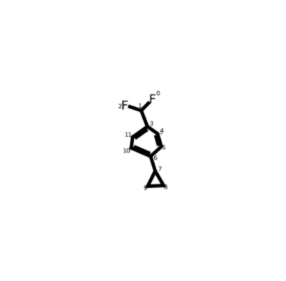 FC(F)c1[c]cc(C2CC2)cc1